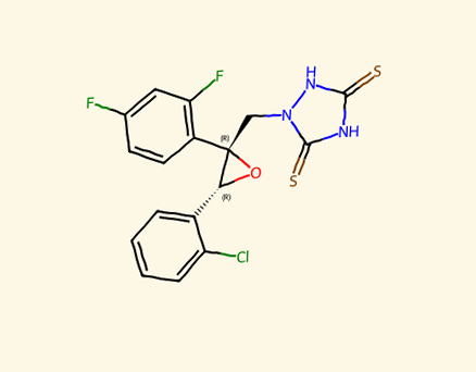 Fc1ccc([C@]2(Cn3[nH]c(=S)[nH]c3=S)O[C@@H]2c2ccccc2Cl)c(F)c1